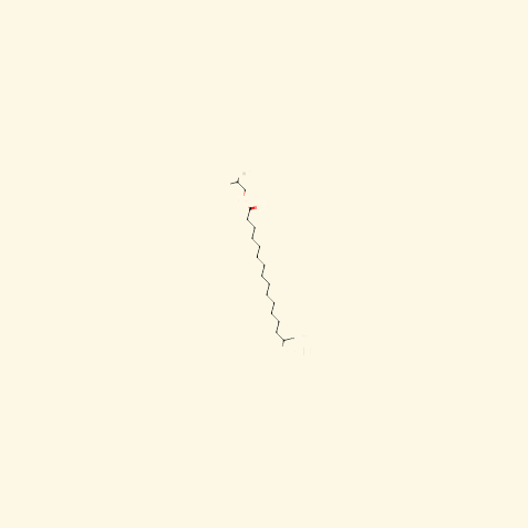 CCCCC(CC)COC(=O)CCCCCCCCCCCCCC(C(=O)O)C(C)C